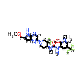 COCc1cc2nc(N3CCC(N(C)C(=O)Nc4cc(C(F)(F)F)cn(C)c4=O)C(F)(F)C3)cnc2[nH]1